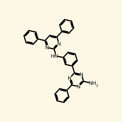 Nc1nc(-c2ccccc2)nc(-c2cccc(Nc3nc(-c4ccccc4)cc(-c4ccccc4)n3)c2)n1